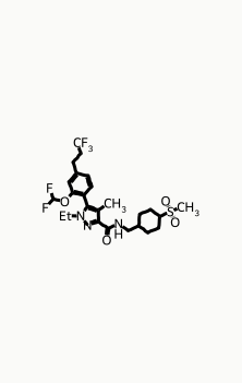 CCn1nc(C(=O)NCC2CCC(S(C)(=O)=O)CC2)c(C)c1-c1ccc(CCC(F)(F)F)cc1OC(F)F